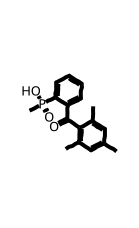 Cc1cc(C)c(C(=O)c2ccccc2P(C)(=O)O)c(C)c1